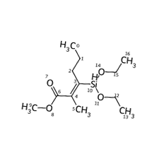 CCCC(=C(C)C(=O)OC)[SiH](OCC)OCC